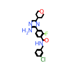 Nc1ncc(C2CCOCC2)nc1-c1ccc(C(=O)NCc2cccc(Cl)c2)c(F)c1